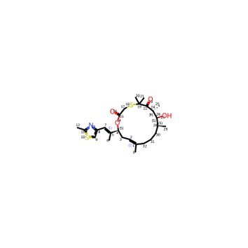 C/C1=C\C[C@@H](/C(C)=C/c2csc(C)n2)OC(=O)CSC(C)(C)C(=O)[C@H](C)[C@@H](O)[C@@H](C)CCC1